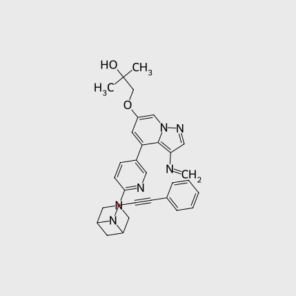 C=Nc1cnn2cc(OCC(C)(C)O)cc(-c3ccc(N4CC5CC(C4)N5CC#Cc4ccccc4)nc3)c12